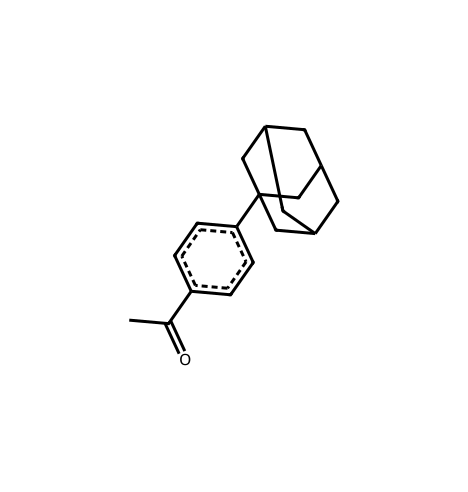 CC(=O)c1ccc(C23CC4CC(CC(C4)C2)C3)cc1